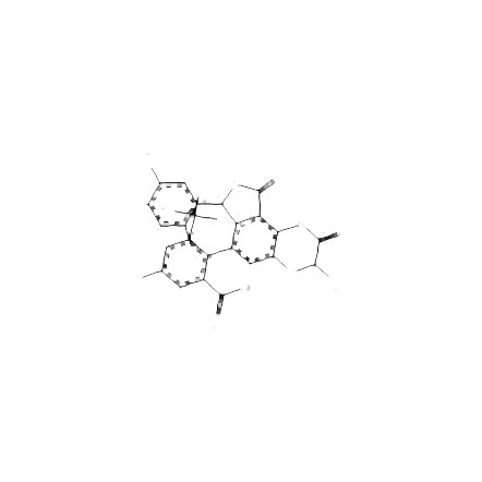 CC1Oc2cc(-c3c(C(N)=O)cc(F)cc3C(F)(F)F)c3c(c2NC1=O)C(=O)NC3c1cc(F)ccc1Cl